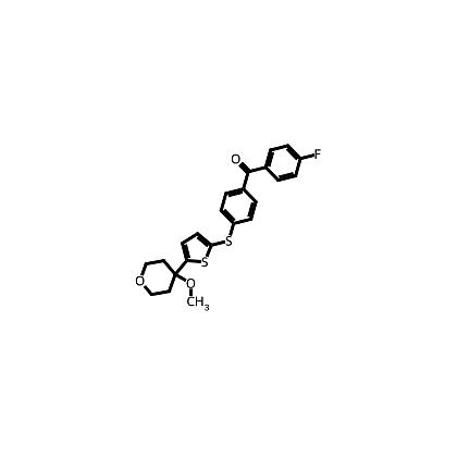 COC1(c2ccc(Sc3ccc(C(=O)c4ccc(F)cc4)cc3)s2)CCOCC1